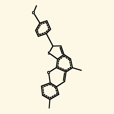 COc1ccc(C2C=c3cc(C)c4c(c3S2)Oc2ccc(C)cc2C=4)cc1